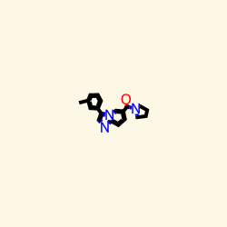 Cc1cccc(-c2cnc3ccc(C(=O)N4CCCC4)cn23)c1